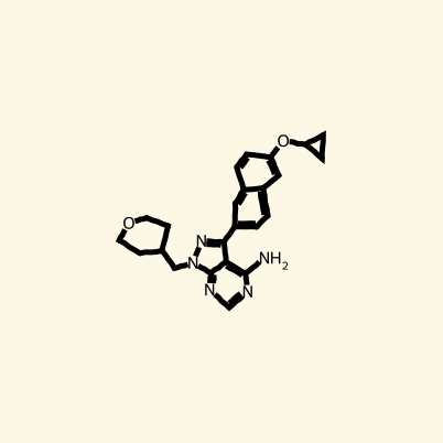 Nc1ncnc2c1c(-c1ccc3cc(OC4CC4)ccc3c1)nn2CC1CCOCC1